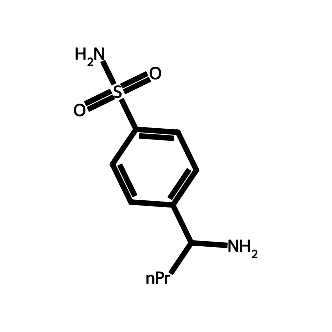 CCCC(N)c1ccc(S(N)(=O)=O)cc1